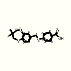 CC1(C)COc2ccc(COc3ccc(C(=O)O)cc3)cc2OC1